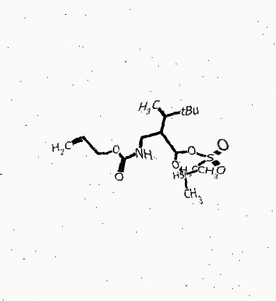 C=CCOC(=O)NCC(C(O[SiH](C)C)OS(C)(=O)=O)C(C)C(C)(C)C